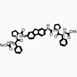 COC(=O)N[C@@H](C(=O)N1CCC[C@H]1C(=O)Nc1ccc2c(c1)Cc1cc(NC(=O)[C@@H]3CCCN3C(=O)[C@H](NC(=O)OC)c3ccccc3)ccc1-2)c1ccccc1